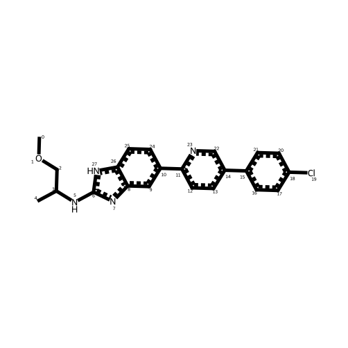 COCC(C)Nc1nc2cc(-c3ccc(-c4ccc(Cl)cc4)cn3)ccc2[nH]1